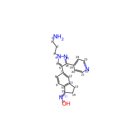 NCCCn1cc(-c2ccc3c(c2)CC/C3=N\O)c(-c2ccncc2)n1